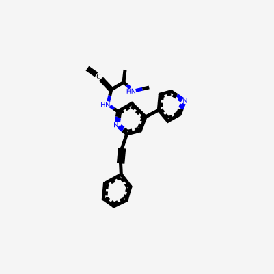 C=C=C(Nc1cc(-c2ccncc2)cc(C#Cc2ccccc2)n1)C(C)NC